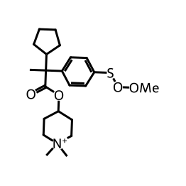 COOSc1ccc(C(C)(C(=O)OC2CC[N+](C)(C)CC2)C2CCCC2)cc1